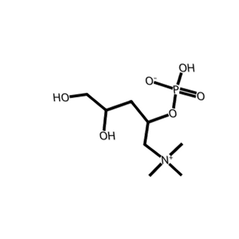 C[N+](C)(C)CC(CC(O)CO)OP(=O)([O-])O